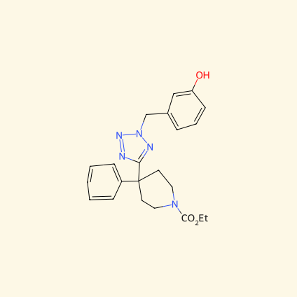 CCOC(=O)N1CCC(c2ccccc2)(c2nnn(Cc3cccc(O)c3)n2)CC1